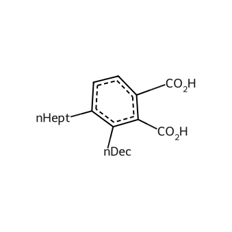 CCCCCCCCCCc1c(CCCCCCC)ccc(C(=O)O)c1C(=O)O